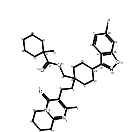 Cc1nc2n(c(=O)c1CCC1(COC(=O)C3(C)CCCCC3)CCC(c3noc4cc(F)ccc34)CC1)CCCC2